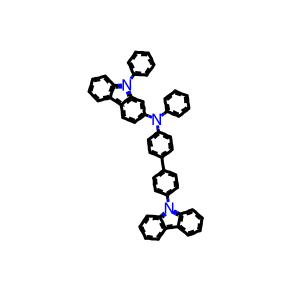 c1ccc(N(c2ccc(-c3ccc(-n4c5ccccc5c5ccccc54)cc3)cc2)c2ccc3c4ccccc4n(-c4ccccc4)c3c2)cc1